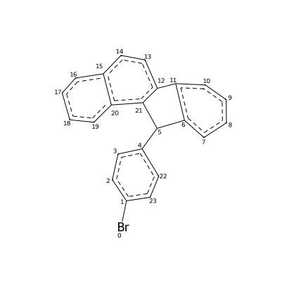 Brc1ccc(C2c3ccccc3-c3ccc4ccccc4c32)cc1